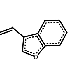 C=[C]c1coc2ccccc12